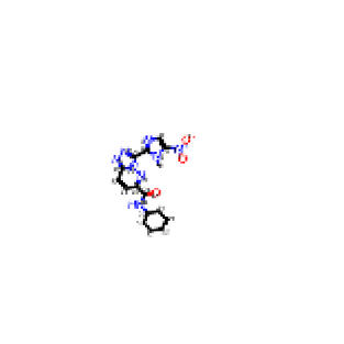 Cn1c([N+](=O)[O-])cnc1-c1nnc2ccc(C(=O)NC3CCCCC3)nn12